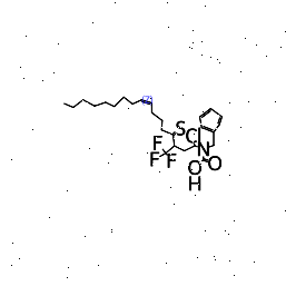 CCCCCCCC/C=C\CCCC(=S)C(CC(Cl)N(Cc1ccccc1)C(=O)O)C(F)(F)F